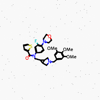 COc1cc(CN2CC3C(C2)C3CN(C(=O)c2cccs2)c2ccc(N3CCOCC3)c(F)c2)cc(OC)c1OC